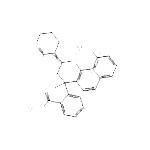 COC(=O)c1ccccc1C1(C)C/C(=C2\C=NCCC2)Oc2c1ccc1cccc(OC)c21